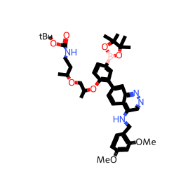 COc1ccc(CNc2cnnc3cc(-c4cc(B5OC(C)(C)C(C)(C)O5)ccc4OC(C)COC(C)CCNC(=O)OC(C)(C)C)ccc23)c(OC)c1